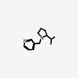 CC(C)C1CCCN1Cc1cccnc1